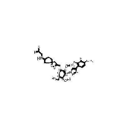 CO[C@@H]1[C@@H](n2cc(-c3ccc(C)c(F)c3F)nn2)[C@@H](O)[C@@H](CO)O[C@@H]1CC1=NOC2(CCC(NCC(F)F)CC2)C1